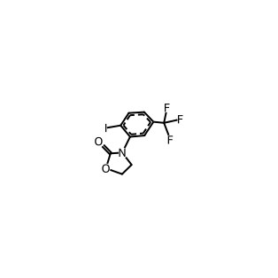 O=C1OCCN1c1cc(C(F)(F)F)ccc1I